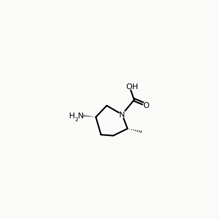 C[C@@H]1CC[C@H](N)CN1C(=O)O